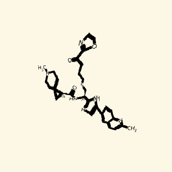 Cc1ccc2cc(-c3cnc([C@H](CSCCCC(=O)c4ncco4)NC(=O)[C@H]4CC45CCN(C)CC5)[nH]3)ccc2n1